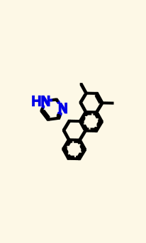 C1=CNCN=C1.CC1=CC(C)Cc2c1ccc1c2CCc2ccccc2-1